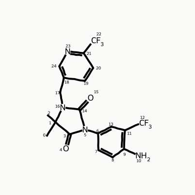 CC1(C)C(=O)N(c2ccc(N)c(C(F)(F)F)c2)C(=O)N1Cc1ccc(C(F)(F)F)nc1